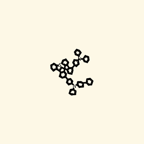 c1ccc(-c2ccc(N(c3ccccc3)c3ccc(-c4ccc5c(c4)C4(c6ccccc6-c6c(-c7ccc(N(c8ccccc8)c8ccccc8)cc7)cccc64)c4sc6ccccc6c4-5)cc3)cc2)cc1